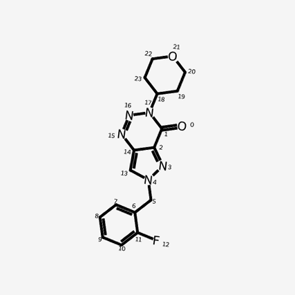 O=c1c2nn(Cc3ccccc3F)cc2nnn1C1CCOCC1